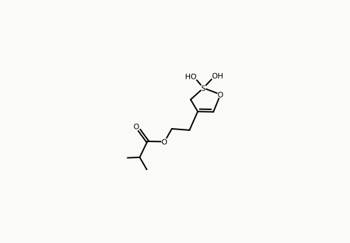 CC(C)C(=O)OCCC1=COS(O)(O)C1